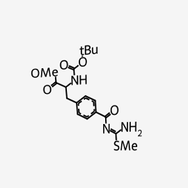 COC(=O)C(Cc1ccc(C(=O)/N=C(\N)SC)cc1)NC(=O)OC(C)(C)C